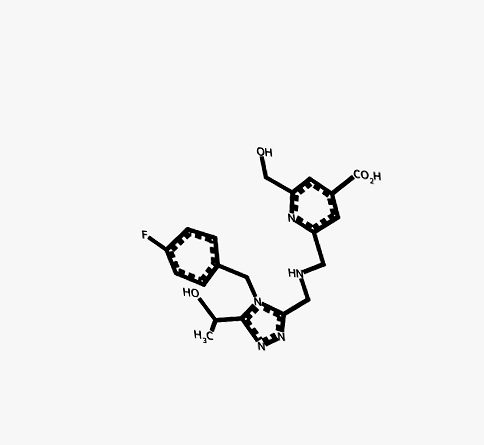 CC(O)c1nnc(CNCc2cc(C(=O)O)cc(CO)n2)n1Cc1ccc(F)cc1